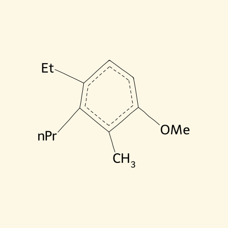 CCCc1c(CC)ccc(OC)c1C